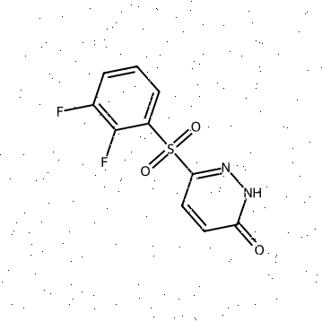 O=c1ccc(S(=O)(=O)c2cccc(F)c2F)n[nH]1